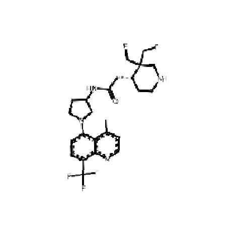 Cc1ccnc2c(C(F)(F)F)ccc(N3CCC(NC(=O)C[C@H]4CCNCC4(CF)CF)C3)c12